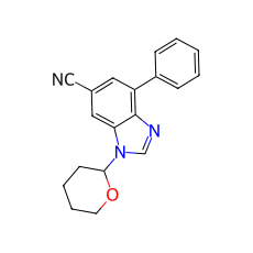 N#Cc1cc(-c2ccccc2)c2ncn(C3CCCCO3)c2c1